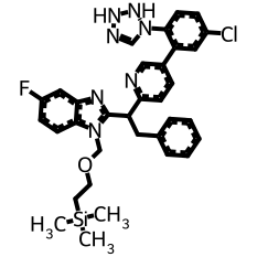 C[Si](C)(C)CCOCn1c(C(Cc2ccccc2)c2ccc(-c3cc(Cl)ccc3N3C=NNN3)cn2)nc2cc(F)ccc21